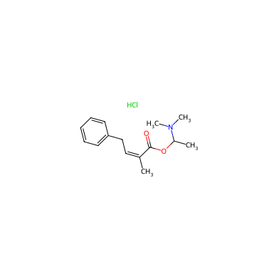 CC(=CCc1ccccc1)C(=O)OC(C)N(C)C.Cl